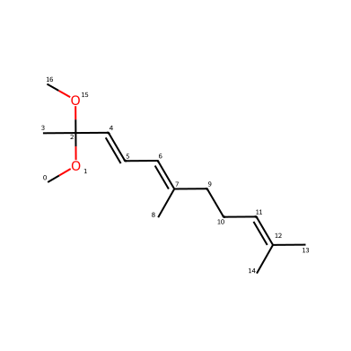 COC(C)(/C=C/C=C(\C)CCC=C(C)C)OC